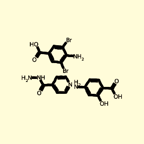 NNC(=O)c1ccncc1.Nc1c(Br)cc(C(=O)O)cc1Br.Nc1ccc(C(=O)O)c(O)c1